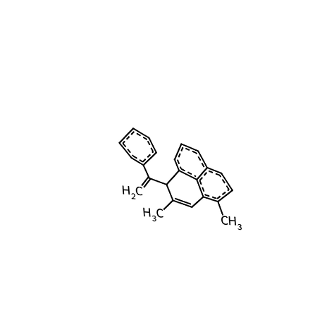 C=C(c1ccccc1)C1C(C)=Cc2c(C)ccc3cccc1c23